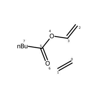 C=C.C=COC(=O)CCCC